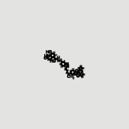 CN(CCCn1nnc2cc(CNCC(O)c3ccc(O)c4[nH]c(=O)ccc34)ccc21)[C@H]1CC[C@H](OC(C(=O)O)(c2cccs2)c2cccs2)CC1